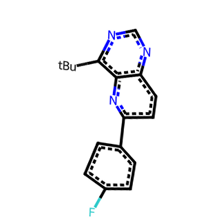 CC(C)(C)c1ncnc2ccc(-c3ccc(F)cc3)nc12